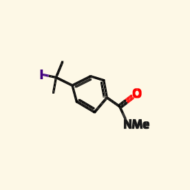 CNC(=O)c1ccc(C(C)(C)I)cc1